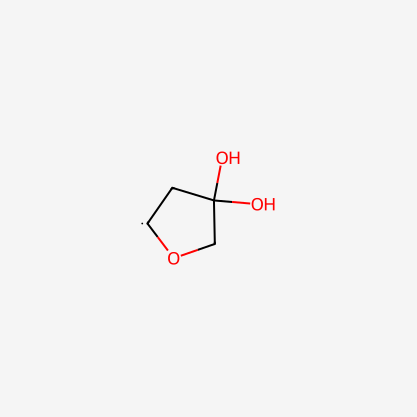 OC1(O)C[CH]OC1